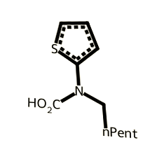 CCCCCCN(C(=O)O)c1cccs1